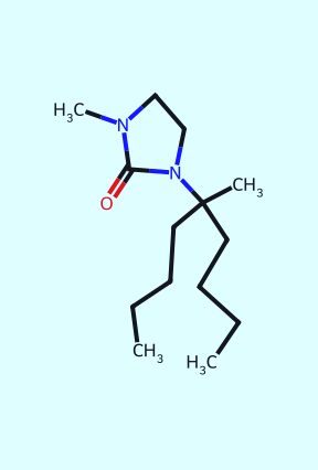 CCCCC(C)(CCCC)N1CCN(C)C1=O